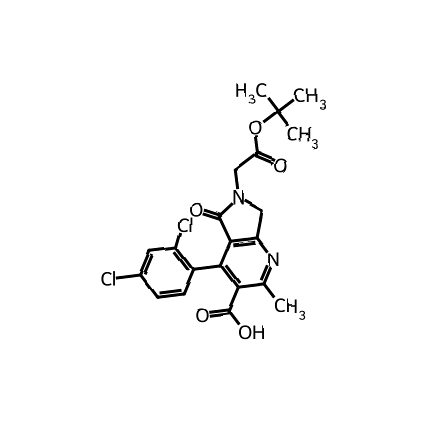 Cc1nc2c(c(-c3ccc(Cl)cc3Cl)c1C(=O)O)C(=O)N(CC(=O)OC(C)(C)C)C2